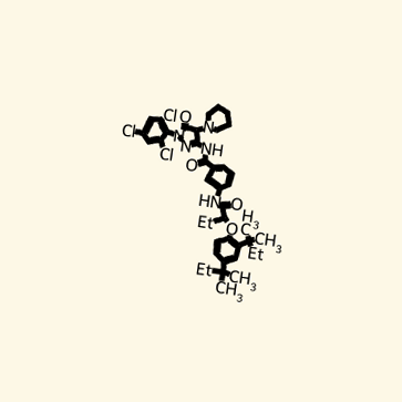 CCC(Oc1ccc(C(C)(C)CC)cc1C(C)(C)CC)C(=O)Nc1cccc(C(=O)NC2=NN(c3c(Cl)cc(Cl)cc3Cl)C(=O)C2N2CCCCC2)c1